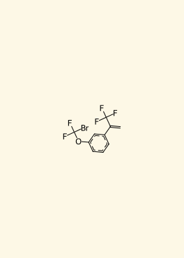 C=C(c1cccc(OC(F)(F)Br)c1)C(F)(F)F